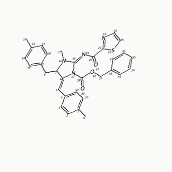 Cc1ccc(/C=C2/C(Cc3ccc(C)cc3)N(C)/C(=N/C(=O)c3nccs3)N2C(=O)OCc2ccccc2)cc1